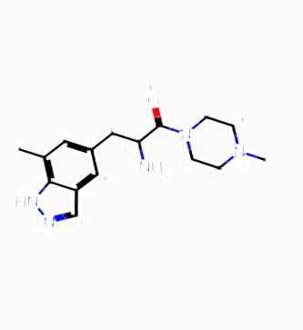 Cc1cc(CC(N)C(=O)N2CCN(C)CC2)cc2cn[nH]c12